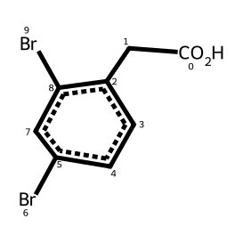 O=C(O)Cc1ccc(Br)cc1Br